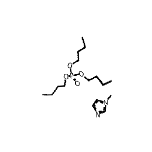 CCCCOP(=O)(OCCCC)OCCCC.Cn1ccnc1